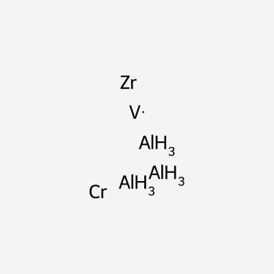 [AlH3].[AlH3].[AlH3].[Cr].[V].[Zr]